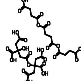 O=C(O)CC(O)(CC(=O)OC(CC(=O)O)(CC(=O)O)C(=O)O)C(=O)O.O=C(O)CCC(=O)OC(=O)CCC(=O)OC(=O)CCC(=O)O